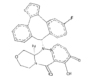 O=C1c2c(O)c(=O)ccn2N([C@H]2c3ccc(F)cc3-c3ccsc3-c3ccccc32)[C@@H]2COCCN12